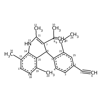 C#Cc1ccc(C2C(C(=C)C)=C(C)Nc3c(C)cnc(C)c32)c(OC)c1